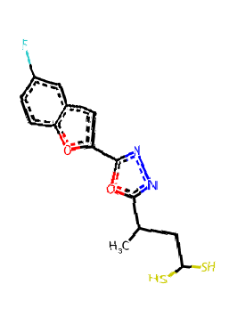 CC(CC(S)S)c1nnc(-c2cc3cc(F)ccc3o2)o1